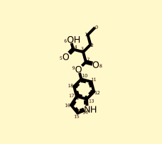 CCCC(C(=O)O)C(=O)Oc1ccc2[nH]ccc2c1